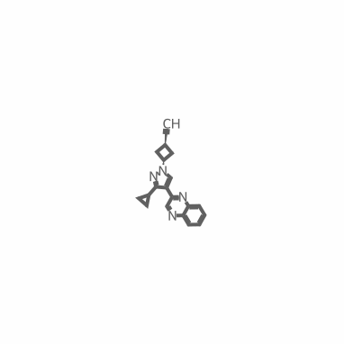 C#C[C@H]1C[C@H](n2cc(-c3cnc4ccccc4n3)c(C3CC3)n2)C1